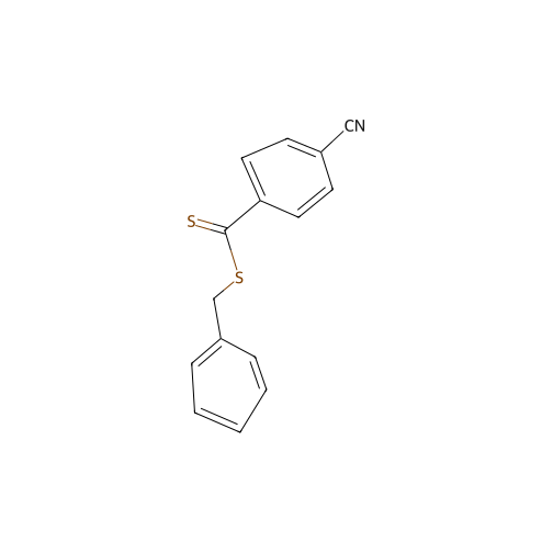 N#Cc1ccc(C(=S)SCc2ccccc2)cc1